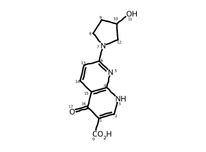 O=C(O)c1c[nH]c2nc(N3CCC(O)C3)ccc2c1=O